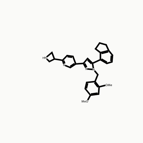 COc1ccc(Cn2nc(-c3ccc(C4CNC4)nc3)cc2-c2cccc3c2CCC3)c(OC)c1